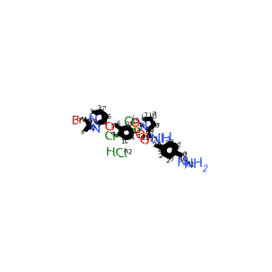 Cc1nc2c(OCc3c(Cl)ccc(S(=O)(=O)N4CCC[C@H]4C(=O)NCc4ccc(C=NN)cc4)c3Cl)cccn2c1Br.Cl